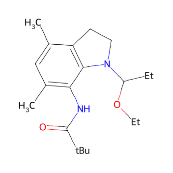 CCOC(CC)N1CCc2c(C)cc(C)c(NC(=O)C(C)(C)C)c21